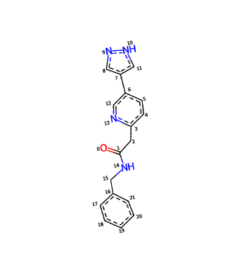 O=C(Cc1ccc(-c2cn[nH]c2)cn1)NCc1ccccc1